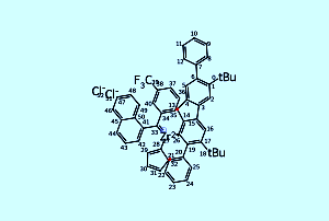 CC(C)(C)c1cc2c(cc1-c1ccccc1)Cc1c-2cc(C(C)(C)C)c(-c2ccccc2)[c]1/[Zr+2]([C]1=CC=CC1)=[C](\c1cccc(C(F)(F)F)c1)c1cccc2ccccc12.[Cl-].[Cl-]